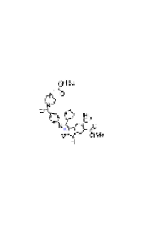 COC(=O)c1cc2c(cc1C)/C(=C(/Nc1ccc(C(=O)N3CCN(CC(=O)OC(C)(C)C)CC3)cc1)c1ccccc1)C(=O)N2